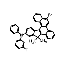 CC1(C)c2cc(N(c3ccccc3)c3cccc(F)c3)ccc2-c2c1c1ccccc1c1cc(Br)c3ccccc3c21